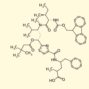 CC[C@H](C)[C@H](NC(=O)OCC1c2ccccc2-c2ccccc21)C(=O)N(C)[C@H](C[C@@H](OC(=O)CC(C)(C)C)c1nc(C(=O)NC(Cc2ccccc2)CC(C)C(=O)O)cs1)C(C)C